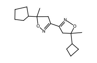 CC1(C2CCCC2)CC(C2=NOC(C)(C3CCC3)C2)=NO1